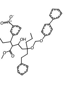 CCCC(CCc1ccccc1)(CC(O)C(C(=O)OC)C(CC)c1cccc([N+](=O)[O-])c1)OCOc1ccc(-c2ccccc2)cc1